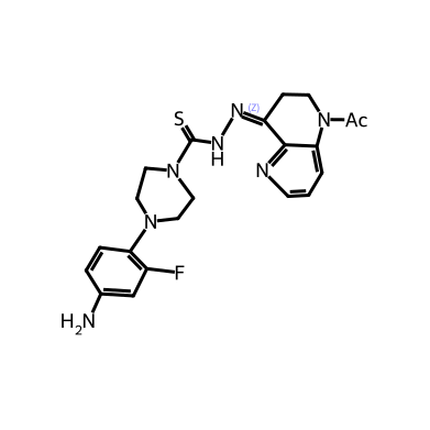 CC(=O)N1CC/C(=N/NC(=S)N2CCN(c3ccc(N)cc3F)CC2)c2ncccc21